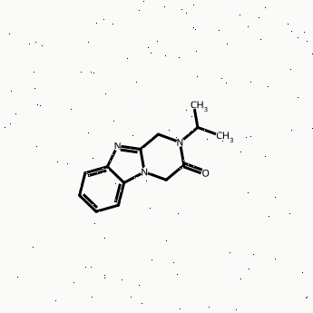 CC(C)N1Cc2nc3ccccc3n2CC1=O